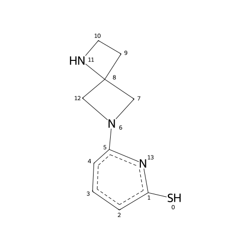 Sc1cccc(N2CC3(CCN3)C2)n1